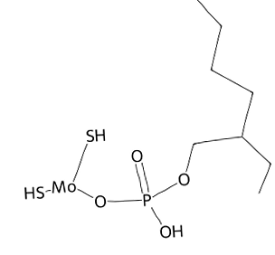 CCCCC(CC)COP(=O)(O)[O][Mo]([SH])[SH]